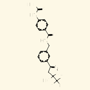 CC(=S)Nc1ccc(C(=O)NCc2cccc(C3=NOC(O)(C(F)(F)F)C3)c2)cc1